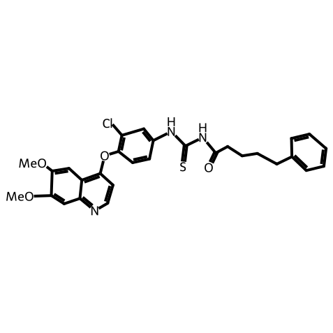 COc1cc2nccc(Oc3ccc(NC(=S)NC(=O)CCCCc4ccccc4)cc3Cl)c2cc1OC